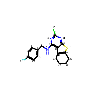 Fc1ccc(CNc2nc(Cl)nc3sc4c(c23)CCCC4)cc1